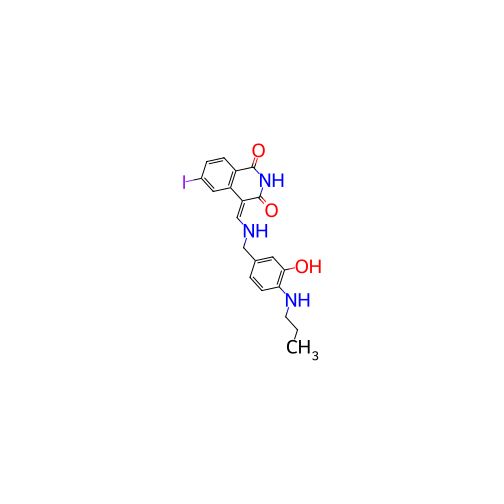 CCCNc1ccc(CN/C=C2\C(=O)NC(=O)c3ccc(I)cc32)cc1O